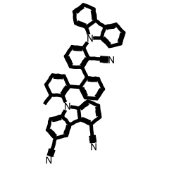 CC1CC=CC(c2ccccc2-c2cccc(-n3c4ccccc4c4ccccc43)c2C#N)=C1n1c2ccc(C#N)cc2c2c(C#N)cccc21